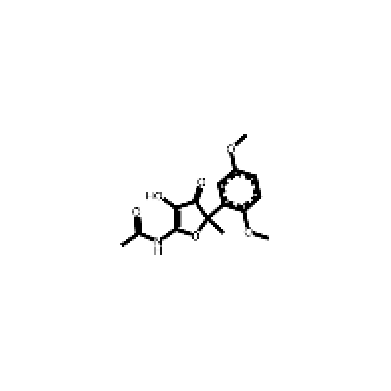 COc1ccc(OC)c(C2(C)OC(NC(C)=O)=C(O)C2=O)c1